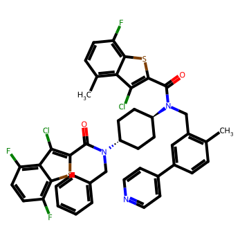 Cc1ccc(-c2ccncc2)cc1CN(C(=O)c1sc2c(F)ccc(C)c2c1Cl)[C@H]1CC[C@H](N(Cc2ccccc2)C(=O)c2sc3c(F)ccc(F)c3c2Cl)CC1